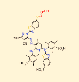 Cc1cc(N(c2nc3ccc(S(=O)(=O)O)cc3s2)c2c(C)cc(C)c(S(=O)(=O)O)c2C)nc(Nc2c(C)cc(C)c(S(=O)(=O)O)c2C)c1N=Nc1c(C#N)c(C(C)(C)C)nn1-c1nc2ccc(SOOO)cc2s1